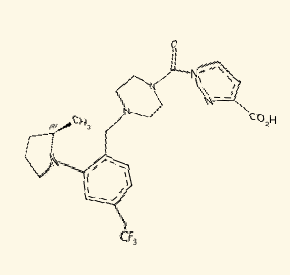 C[C@@H]1CCCN1c1cc(C(F)(F)F)ccc1CN1CCN(C(=O)n2ccc(C(=O)O)n2)CC1